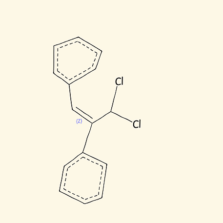 ClC(Cl)/C(=C\c1ccccc1)c1ccccc1